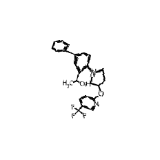 CC(O)c1cc(-c2ccccc2)ccc1N1CCC(Oc2ccc(C(F)(F)F)cn2)C1